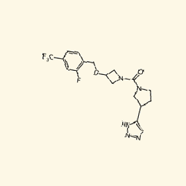 O=C(N1CC(OCc2ccc(C(F)(F)F)cc2F)C1)N1CCC(c2cnn[nH]2)C1